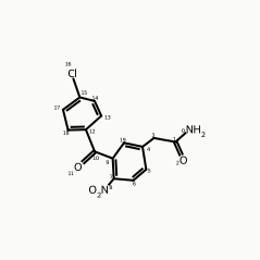 NC(=O)Cc1ccc([N+](=O)[O-])c(C(=O)c2ccc(Cl)cc2)c1